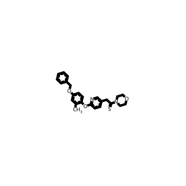 Cc1cc(OCc2ccccc2)ccc1Oc1ccc(CC(=S)N2CCOCC2)cn1